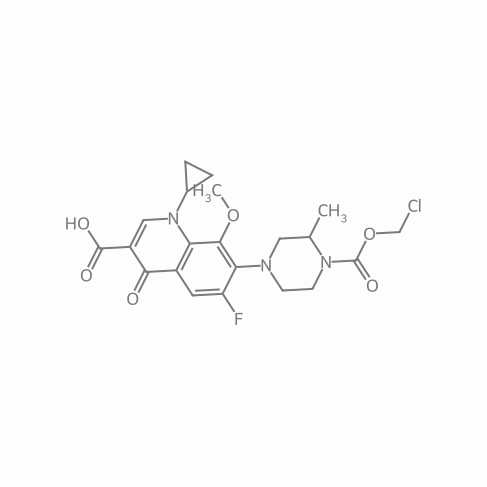 COc1c(N2CCN(C(=O)OCCl)C(C)C2)c(F)cc2c(=O)c(C(=O)O)cn(C3CC3)c12